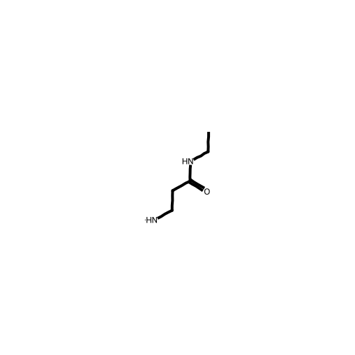 CCNC(=O)CC[NH]